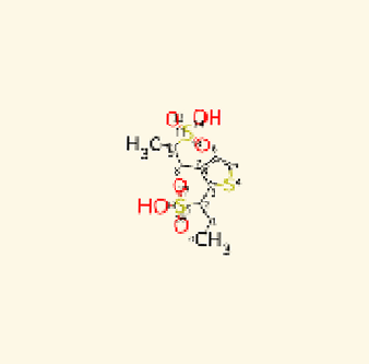 CCC(c1sccc1CC(C)S(=O)(=O)O)S(=O)(=O)O